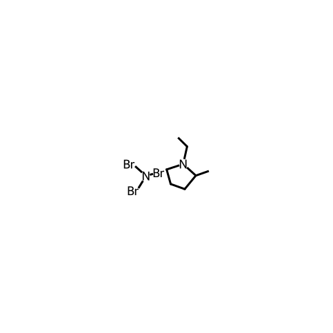 BrN(Br)Br.CCN1CCCC1C